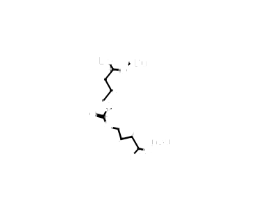 CCCCOC(CC)CCCOC(=O)OCCCC(CC)OCCCC